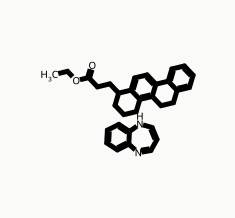 C1=CNc2ccccc2N=C1.CCOC(=O)CCC1CCCc2c1ccc1c2CCc2ccccc2-1